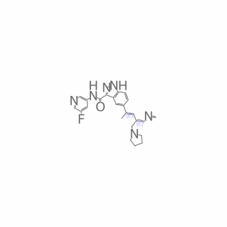 C=N/C=C(\C=C(/C)c1ccc2[nH]nc(C(=O)Nc3cncc(F)c3)c2c1)CN1CCCC1